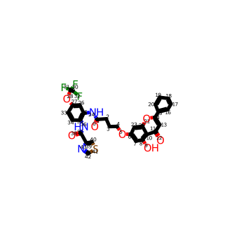 O=C(CCCOc1cc(O)c2c(=O)cc(-c3ccccc3)oc2c1)Nc1cc(OC(F)(F)F)ccc1NC(=O)c1cscn1